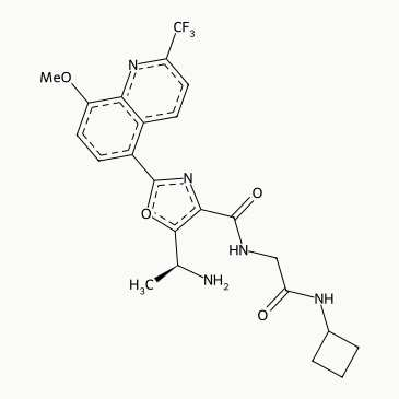 COc1ccc(-c2nc(C(=O)NCC(=O)NC3CCC3)c([C@H](C)N)o2)c2ccc(C(F)(F)F)nc12